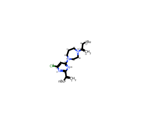 C=C(CCCC)c1nc(Cl)cc(N2CCCN(C(=C)CC(C)(C)C)CC2)n1